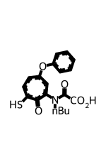 CCCCN(C(=O)C(=O)O)c1cc(Oc2ccccc2)ccc(S)c1=O